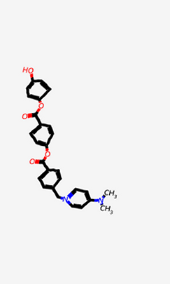 CN(C)c1cc[n+](Cc2ccc(C(=O)Oc3ccc(C(=O)Oc4ccc(O)cc4)cc3)cc2)cc1